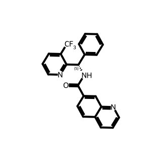 O=C(N[C@@H](c1ccccc1)c1ncccc1C(F)(F)F)c1ccc2cccnc2c1